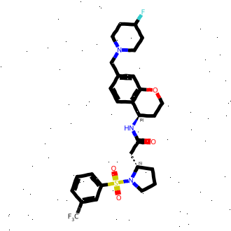 O=C(C[C@@H]1CCCN1S(=O)(=O)c1cccc(C(F)(F)F)c1)N[C@@H]1CCOc2cc(CN3CCC(F)CC3)ccc21